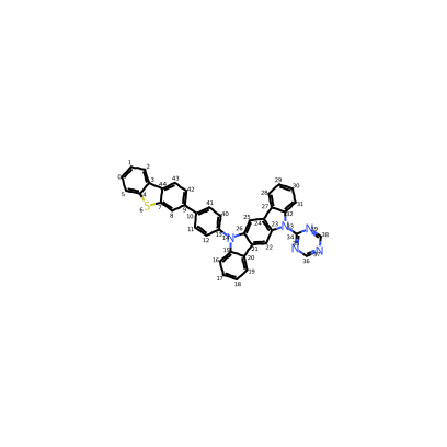 c1ccc2c(c1)sc1cc(-c3ccc(-n4c5ccccc5c5cc6c(cc54)c4ccccc4n6-c4ncncn4)cc3)ccc12